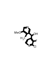 COc1cncc(C(O)c2ccnc(Cl)c2F)c1C